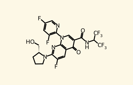 O=C(NC(C(F)(F)F)C(F)(F)F)c1cn(-c2ncc(F)cc2F)c2nc(N3CCC[C@@H]3CO)c(F)cc2c1=O